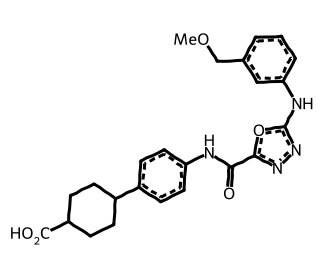 COCc1cccc(Nc2nnc(C(=O)Nc3ccc(C4CCC(C(=O)O)CC4)cc3)o2)c1